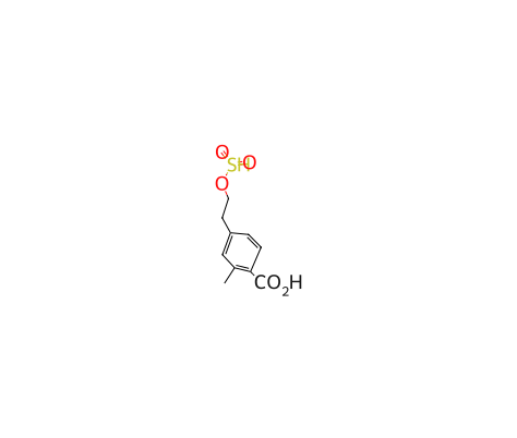 Cc1cc(CCO[SH](=O)=O)ccc1C(=O)O